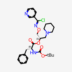 CC(C)(C)OC(=O)N[C@H](Cc1ccccc1)C(=O)O[C@H](CON=C(Cl)c1cccnc1)CN1CCCCC1